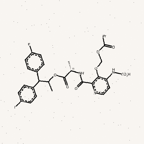 CC(C)C(=O)OCOc1c(NC(=O)O)ccnc1C(=O)N[C@@H](C)C(=O)OC(C)C(c1ccc(F)cc1)c1ccc(F)cc1